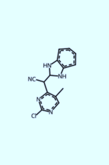 Cc1cnc(Cl)nc1C(C#N)C1Nc2ccccc2N1